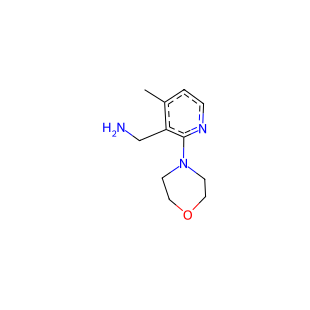 Cc1ccnc(N2CCOCC2)c1CN